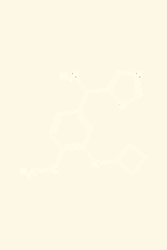 COc1ccc(C(N)c2cnco2)cc1OC1CCC1